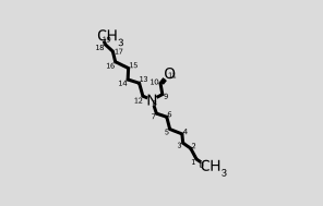 CCCCCCCCN(CC=O)CCCCCCCC